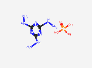 NNc1nc(NN)nc(NN)n1.O=P(O)(O)O